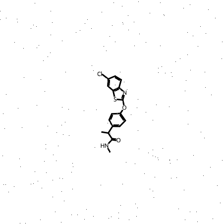 CNC(=O)C(C)c1ccc(Oc2nc3ccc(Cl)cc3s2)cc1